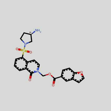 N[C@@H]1CCN(S(=O)(=O)c2cccc3c(=O)n(COC(=O)c4ccc5occc5c4)ccc23)C1